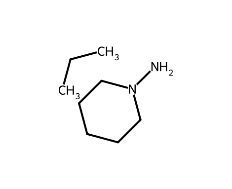 CCC.NN1CCCCC1